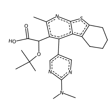 Cc1nc2sc3c(c2c(-c2cnc(N(C)C)nc2)c1C(OC(C)(C)C)C(=O)O)CCCC3